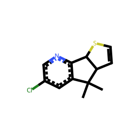 CC1(C)c2cc(Cl)cnc2C2SC=CC21